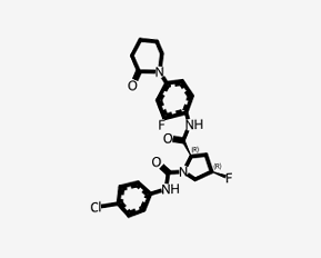 O=C(Nc1ccc(N2CCCCC2=O)cc1F)[C@H]1C[C@@H](F)CN1C(=O)Nc1ccc(Cl)cc1